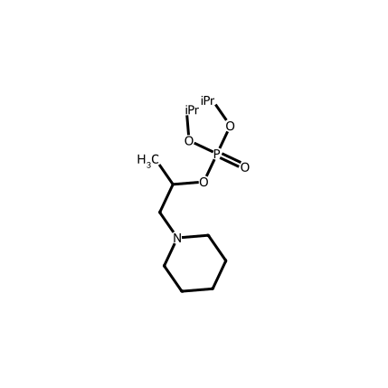 CC(C)OP(=O)(OC(C)C)OC(C)CN1CCCCC1